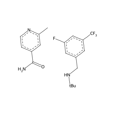 CC(C)(C)NCc1cc(F)cc(C(F)(F)F)c1.Cc1cc(C(N)=O)ccn1